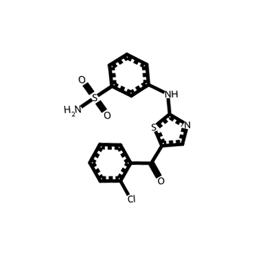 NS(=O)(=O)c1cccc(Nc2ncc(C(=O)c3ccccc3Cl)s2)c1